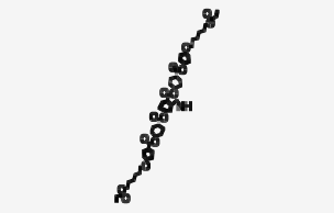 C=CC(=O)OCCCCCCOc1ccc(OC(=O)[C@H]2CC[C@H](OC(=O)c3ccc(OC(=O)[C@H]4CC[C@H](OC(=O)c5ccc(OCCCCCCOC(=O)C=C)cc5)CC4)cc3C=N)CC2)cc1